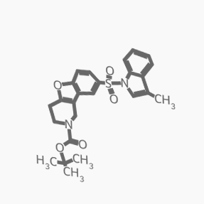 Cc1cn(S(=O)(=O)c2ccc3oc4c(c3c2)CN(C(=O)OC(C)(C)C)CC4)c2ccccc12